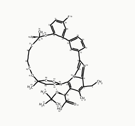 CCc1c(C)c([C@H](OC(C)(C)C)C(=O)O)c2n3cc(nc13)-c1cccc(c1)-c1cc(F)ccc1O[C@@H](C)CCCCOC1(C)CCN2CC1